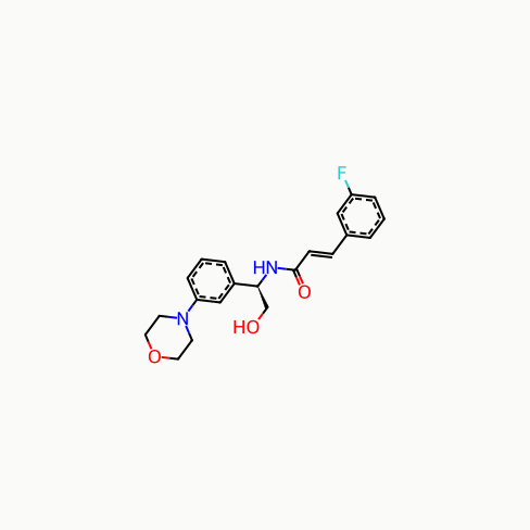 O=C(/C=C/c1cccc(F)c1)N[C@@H](CO)c1cccc(N2CCOCC2)c1